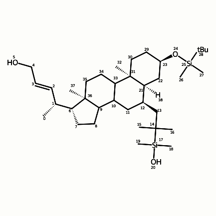 C[C@H](/C=C/CO)[C@H]1CCC2C3C[C@H](CC(C)(C)[Si](C)(C)O)[C@@H]4C[C@H](O[Si](C)(C)C(C)(C)C)CC[C@]4(C)C3CC[C@@]21C